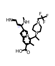 CN/C(=C\C=N)c1cc2cc(C(=O)O)c(C)c(C(C)N3CCN(CC(F)(F)F)CC3)n2c1